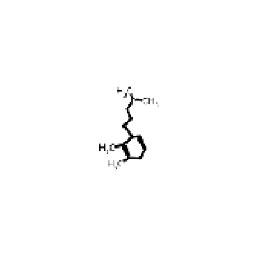 CC1=C(C)C(CCCN(C)C)C=CC1